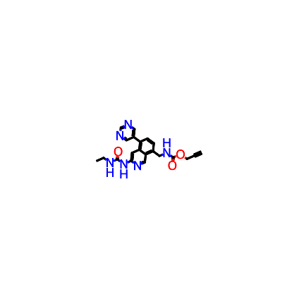 C#CCOC(=O)NCc1ccc(-c2cncnc2)c2cc(NC(=O)NCC)ncc12